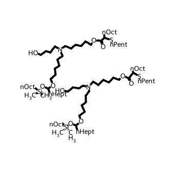 CCCCCCCCC(SCCCCC)C(=O)OCCCCCCN(CCCCO)CCCCCCOC(CCCCCCC)O[Si](C)(C)CCCCCCCC.CCCCCCCCC(SCCCCC)C(=O)OCCCCCCN(CCCCO)CCCCCCOC(CCCCCCC)O[Si](C)(C)CCCCCCCC